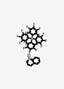 CC[n+]1cccc2ccccc21.Fc1c(F)c(F)c([B-](c2c(F)c(F)c(F)c(F)c2F)(c2c(F)c(F)c(F)c(F)c2F)c2c(F)c(F)c(F)c(F)c2F)c(F)c1F